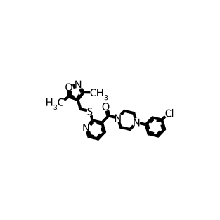 Cc1noc(C)c1CSc1ncccc1C(=O)N1CCN(c2cccc(Cl)c2)CC1